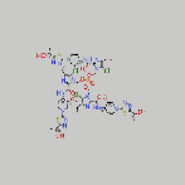 CCc1nc(C(=O)N[C@@H]2CCN(c3nnc([C@H](C)O)s3)C[C@@H]2OC)n(COP(=O)(OCn2c(C(=O)N[C@@H]3CCN(c4nnc([C@H](C)O)s4)C[C@@H]3OC)nc(CC)c2Cl)OCn2c(C(=O)N[C@@H]3CCN(c4nnc([C@H](C)O)s4)C[C@@H]3OC)nc(CC)c2Cl)c1Cl